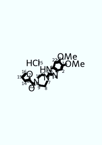 COc1cc2nc(N3CCCN(C(=O)c4ccco4)CC3)[nH]c2cc1OC.Cl